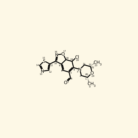 C[C@@H]1CN(C2=C(C=O)C=C3C(c4cncs4)=NOC3C2Cl)C[C@H](C)O1